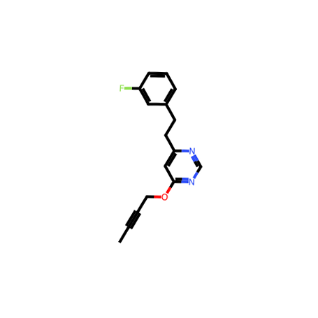 CC#CCOc1cc(CCc2cccc(F)c2)ncn1